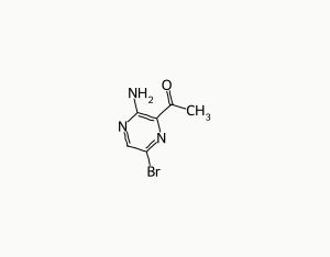 CC(=O)c1nc(Br)cnc1N